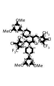 COc1nc(OC)nc(N2CCN(C(Cn3nc(C(F)(F)F)c(Cl)c3C)C(=O)C(Cn3nc(C(F)(F)F)c(Cl)c3C)N3CCN(c4nc(OC)nc(OC)n4)CC3)CC2)n1